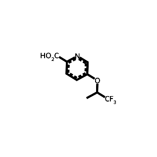 CC(Oc1ccc(C(=O)O)nc1)C(F)(F)F